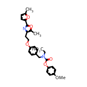 COc1ccc(OC(=O)N(CC(=O)O)Cc2ccc(OCCc3nc(-c4ccc(C)o4)oc3C)cc2)cc1